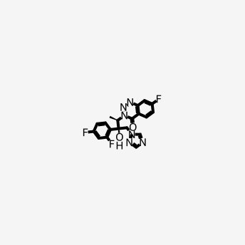 C[C@@H](n1nnc2cc(F)ccc2c1=O)[C@](O)(Cn1cncn1)c1ccc(F)cc1F